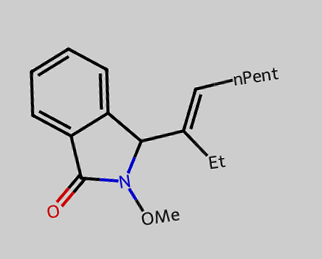 CCCCCC=C(CC)C1c2ccccc2C(=O)N1OC